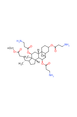 CCCCCCCCOC(=O)CC[C@@H](C)C1CC[C@H]2C3[C@H](OC(=O)CCN)CC4CC(OC(=O)CCN)CCC4(C)[C@H]3C[C@H](OC(=O)CCN)C12C